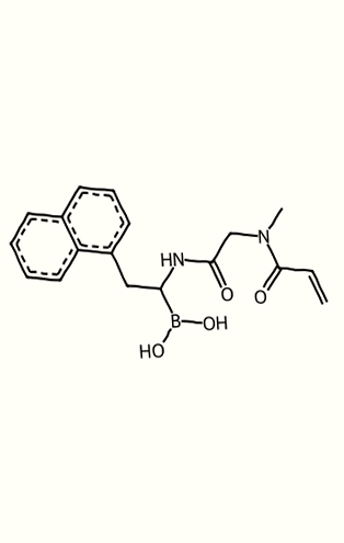 C=CC(=O)N(C)CC(=O)NC(Cc1cccc2ccccc12)B(O)O